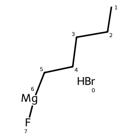 Br.CCCC[CH2][Mg][F]